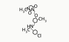 Cc1cc(CN[C@@H](C)c2ccc(Cl)cc2)ccc1OCCn1c(=O)ccn(C)c1=O